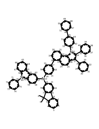 CC1(C)c2ccccc2-c2ccc(N(c3ccc(-c4cccc5c4ccc4c(-c6ccccc6)c(-c6ccccc6)n(-c6ccc(-c7ccccc7)cc6)c45)cc3)c3ccc4c(c3)c3ccccc3n4-c3ccccc3)cc21